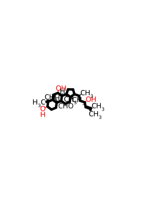 CC(C)=C[C@H](O)C[C@@H](C)C1CC[C@@]2(C)[C@@H]3[C@@H](O)C=C4[C@@H](CC[C@H](O)C4(C)C)[C@]3(C=O)CC[C@]12C